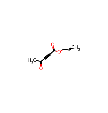 C=CCOC(=O)C#CC(C)=O